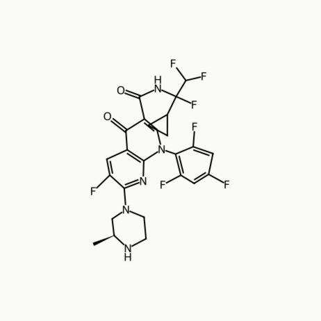 C[C@H]1CN(c2nc3c(cc2F)c(=O)c(C(=O)NC(F)(C(F)F)C2CC2)cn3-c2c(F)cc(F)cc2F)CCN1